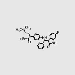 CCCC(=O)N(CCN(C)C)c1ccc(NC(=C2C(=O)Nc3cc(F)ccc32)c2ccccc2)cc1